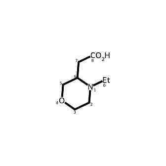 CCN1CCOCC1CC(=O)O